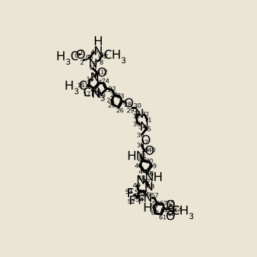 COC[C@H]1CN[C@H](C)CN1CC(=O)N1CC(C)(C)c2ncc(Cc3cccc(OCCN4CCN(CCOCC(=O)Nc5ccc(Nc6ncc(C(F)(F)F)c(NCc7cccc(S(C)(=O)=O)c7)n6)cc5)CC4)c3)cc21